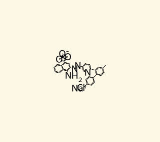 Cc1ccc(-c2ccc(Cl)cc2)c(-c2ccc(N=Nc3cc(S(=O)(=O)[O-])c4ccccc4c3N)cn2)c1.[Na+]